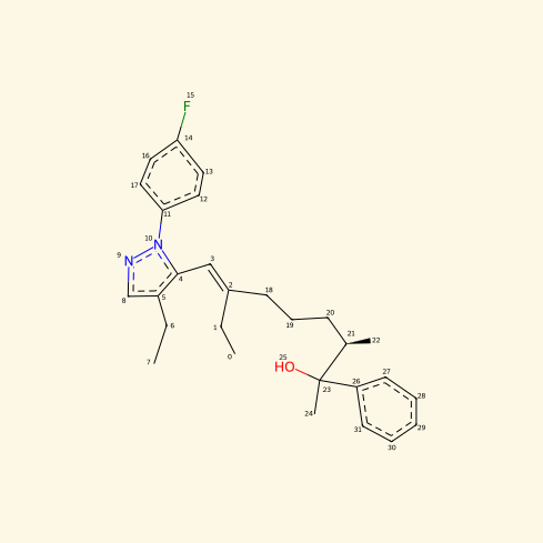 CC/C(=C\c1c(CC)cnn1-c1ccc(F)cc1)CCC[C@@H](C)C(C)(O)c1ccccc1